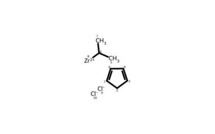 C1=CCC=C1.C[CH](C)[Zr+2].[Cl-].[Cl-]